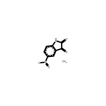 C.O=C1Nc2ccc([N+](=O)[O-])cc2C1=O